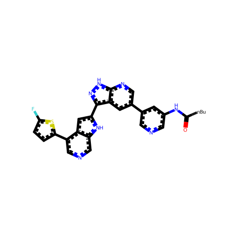 CCCCC(=O)Nc1cncc(-c2cnc3[nH]nc(-c4cc5c(-c6ccc(F)s6)cncc5[nH]4)c3c2)c1